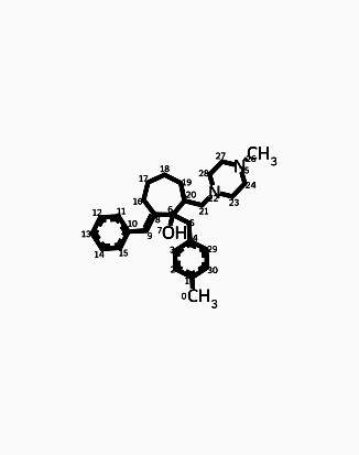 Cc1ccc(CC2(O)C(=Cc3ccccc3)CCCCC2CN2CCN(C)CC2)cc1